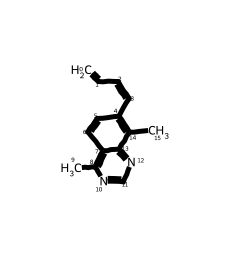 C=C/C=C\c1ccc2c(C)ncnc2c1C